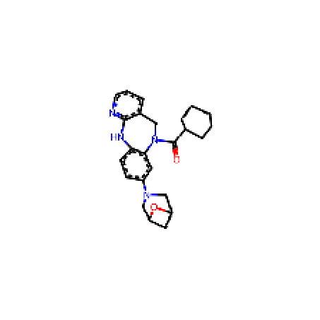 O=C(C1CCCCC1)N1Cc2cccnc2Nc2ccc(N3CC4CC(C3)O4)cc21